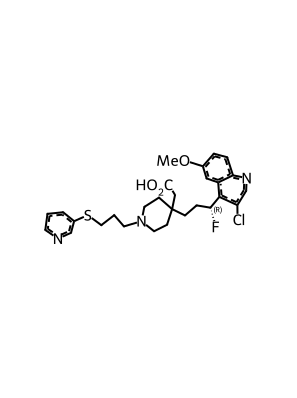 COc1ccc2ncc(Cl)c([C@H](F)CCC3(CC(=O)O)CCN(CCCSc4cccnc4)CC3)c2c1